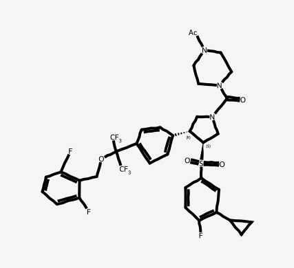 CC(=O)N1CCN(C(=O)N2C[C@@H](S(=O)(=O)c3ccc(F)c(C4CC4)c3)[C@H](c3ccc(C(OCc4c(F)cccc4F)(C(F)(F)F)C(F)(F)F)cc3)C2)CC1